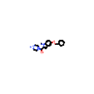 Cn1c(C(=O)N2CCNCC2)cc2cc(OCC3CCCCC3)ccc21